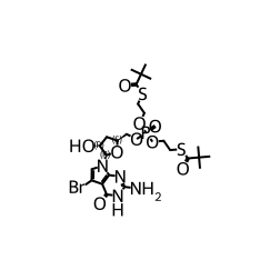 CC(C)(C)C(=O)SCCOP(=O)(OCCSC(=O)C(C)(C)C)OC[C@@H]1C[C@@H](O)[C@H](n2cc(Br)c3c(=O)[nH]c(N)nc32)O1